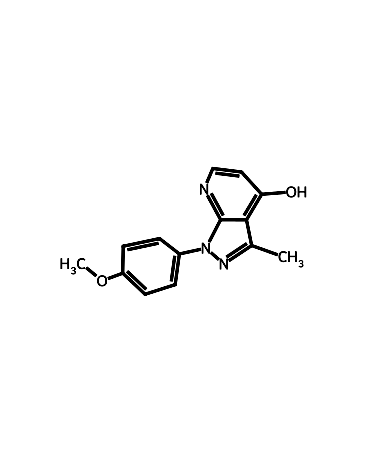 COc1ccc(-n2nc(C)c3c(O)ccnc32)cc1